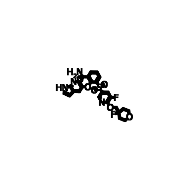 NC(=O)c1cccc(S(=O)(=O)c2cnc(OCC3(F)CCOCC3)c(F)c2)c1Oc1cnc2[nH]ccc2c1